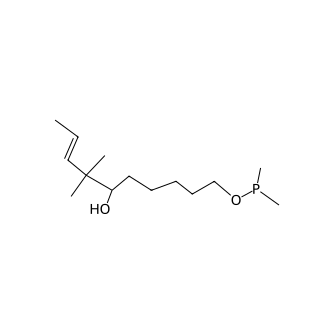 CC=CC(C)(C)C(O)CCCCCOP(C)C